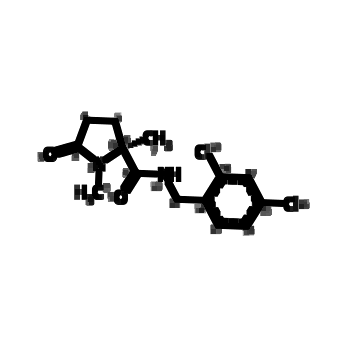 CN1C(=O)CC[C@@]1(C)C(=O)NCc1ccc(Cl)cc1Cl